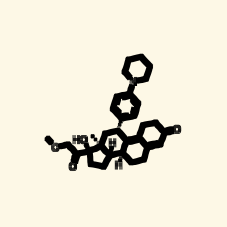 COCC(=O)[C@@]1(O)CC[C@H]2[C@@H]3CCC4=CC(=O)CCC4=C3[C@@H](c3ccc(N4CCCCC4)cc3)C[C@@]21C